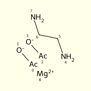 CC(=O)[O-].CC(=O)[O-].NCCN.[Mg+2]